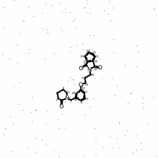 O=C1CCCCN1Cc1cccc(OCCCN2C(=O)c3ccccc3C2=O)c1